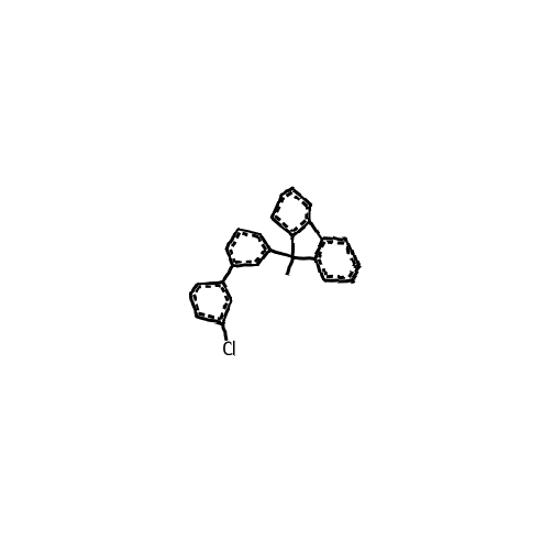 CC1(c2cccc(-c3cccc(Cl)c3)c2)c2ccccc2-c2ccccc21